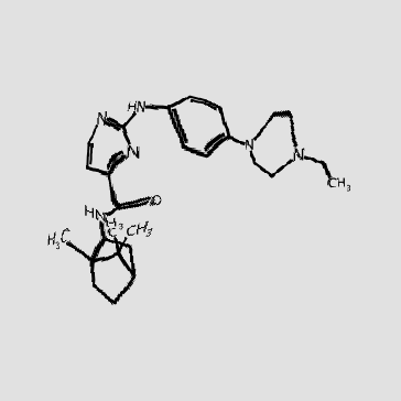 CCN1CCN(c2ccc(Nc3nccc(C(=O)NC4CC5CCC4(C)C5(C)C)n3)cc2)CC1